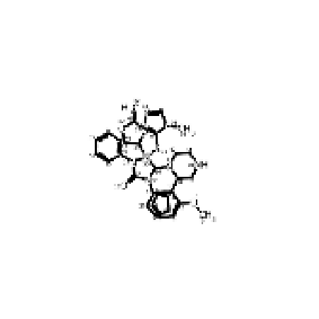 COc1ccccc1C1CNCCN1C1N(C2CCCC2)C(=O)N(c2ccccc2)[N+]1(Sc1nncn1C)C1COC(C)O1